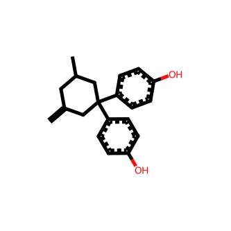 C=C1CC(C)CC(c2ccc(O)cc2)(c2ccc(O)cc2)C1